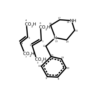 O=C(O)C=CC(=O)O.O=C(O)C=CC(=O)O.c1ccc(CN2CCNCC2)cc1